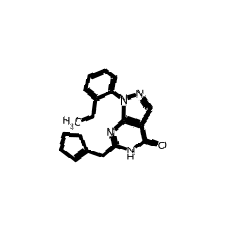 CCc1ccccc1-n1ncc2c(=O)[nH]c(CC3=CCCC3)nc21